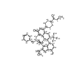 C=CC(=O)N1CCN(c2nc(=O)n3c4c(c(-c5ccc(F)c6sc(NC)c(C#N)c56)c(C(F)(F)F)cc24)SCC(Oc2ccncc2)C3)CC1